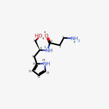 NCCC(=O)N[C@H](CO)Cc1ccc[nH]1